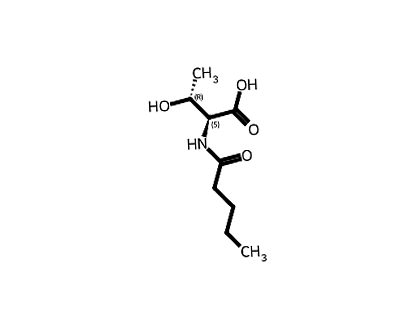 CCCCC(=O)N[C@H](C(=O)O)[C@@H](C)O